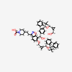 CC(C)(C)[Si](OC[C@H]1C[C@H]1CO)(c1ccccc1)c1ccccc1.CC(C)(C)[Si](OC[C@H]1C[C@H]1COc1ccc2c(CCC3CCN(C(=O)O)CC3)noc2c1CO)(c1ccccc1)c1ccccc1